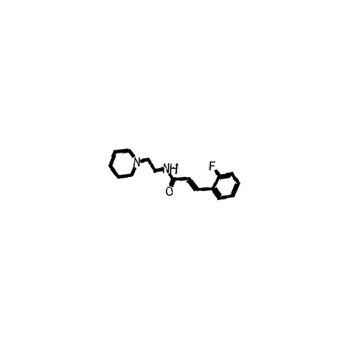 O=C(C=Cc1ccccc1F)NCCN1CCCCC1